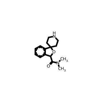 CN(C)C(=O)C1OC2(CCNCC2)c2ccccc21